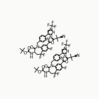 CC(C)(C)OC(=O)NC1CC(F)(F)c2cc(F)c(-c3nnc(C(C)(C)C#N)o3)cc2N(Cc2ccc(-c3cnn(C(F)(F)F)c3)cc2)C1=O.CC(C)(C)OC(=O)N[C@@H]1CC(F)(F)c2cc(F)c(-c3nnc(C(C)(C)C#N)o3)cc2N(Cc2ccc(-c3cnn(C(F)(F)F)c3)cc2)C1=O